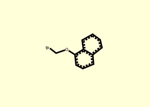 BrCOc1cccc2ccccc12